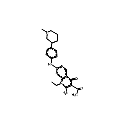 CCn1c(N)c(C(N)=O)c(=O)c2cnc(Nc3ccc(C4CCCN(C)C4)cc3)nc21